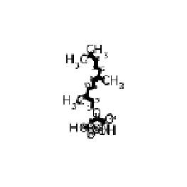 CC(C)=CCCC(C)=CCCC(C)=CCOC(CP(=O)(O)O)C(=O)O